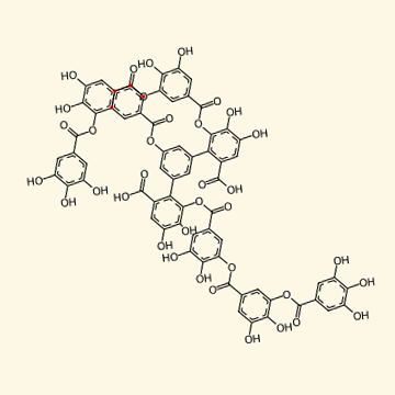 O=C(Oc1cc(-c2c(C(=O)O)cc(O)c(O)c2OC(=O)c2cc(O)c(O)c(OC(=O)c3cc(O)c(O)c(OC(=O)c4cc(O)c(O)c(O)c4)c3)c2)cc(-c2c(C(=O)O)cc(O)c(O)c2OC(=O)c2cc(O)c(O)c(OC(=O)c3cc(O)c(O)c(OC(=O)c4cc(O)c(O)c(O)c4)c3)c2)c1)c1ccccc1